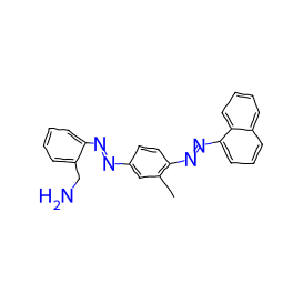 Cc1cc(N=Nc2ccccc2CN)ccc1N=Nc1cccc2ccccc12